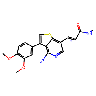 CNC(=O)/C=C/c1cnc(N)c2c(-c3ccc(OC)c(OC)c3)csc12